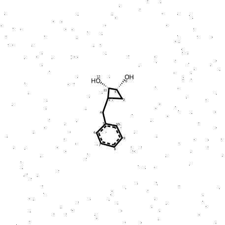 O[C@@H]1CC(Cc2ccccc2)[C@@H]1O